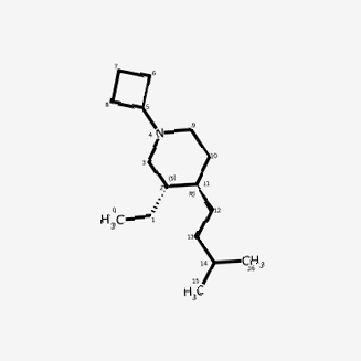 CC[C@@H]1CN(C2CCC2)CC[C@H]1CCC(C)C